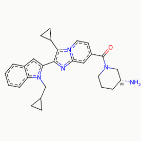 N[C@@H]1CCCN(C(=O)c2ccn3c(C4CC4)c(-c4cc5ccccc5n4CC4CC4)nc3c2)C1